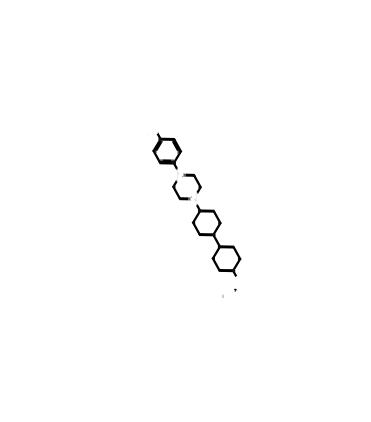 CCCOC1CCC(C2CCC(N3CCN(c4ccc(C(=O)O)cc4)CC3)CC2)CC1.Cl